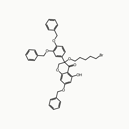 O=C1c2c(O)cc(OCc3ccccc3)cc2OCC1(OCCCCCBr)c1ccc(OCc2ccccc2)c(OCc2ccccc2)c1